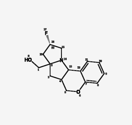 OCC12CC3COc4ccccc4C3N1C[C@@H](F)C2